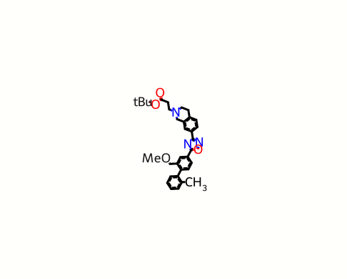 COCc1cc(-c2nc(-c3ccc4c(c3)CN(CCC(=O)OC(C)(C)C)CC4)no2)ccc1-c1ccccc1C